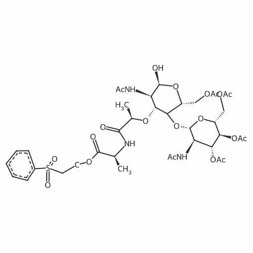 CC(=O)N[C@H]1[C@H](OC2[C@@H](COC(C)=O)O[C@H](O)[C@H](NC(C)=O)[C@H]2O[C@H](C)C(=O)N[C@@H](C)C(=O)OCCS(=O)(=O)c2ccccc2)O[C@H](COC(C)=O)[C@@H](OC(C)=O)[C@@H]1OC(C)=O